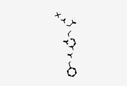 CC(C)(C)OC(=O)N[C@@H](CCn1ccc(NC(=O)OCc2ccccc2)nc1=O)C(=O)O